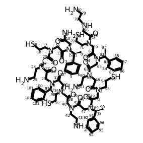 C[C@@H](c1ccccc1)N(CC(N)=O)C(=O)CN(CCS)C(=O)CN(CCN)C(=O)CN(C(=O)CN(CCS)C(=O)CN(CCN)C(=O)CN(C(=O)CN(CCS)C(=O)CN(CCN)C(=O)CN(C(=O)CN(CCS)C(=O)CNCCN)[C@@H](C)c1ccccc1)[C@@H](C)c1ccccc1)[C@@H](C)c1ccccc1